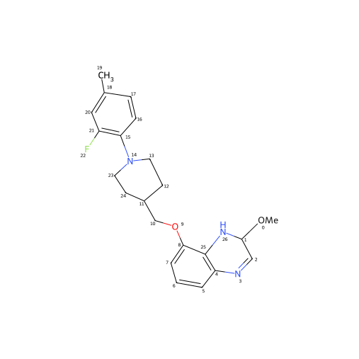 COC1C=Nc2cccc(OCC3CCN(c4ccc(C)cc4F)CC3)c2N1